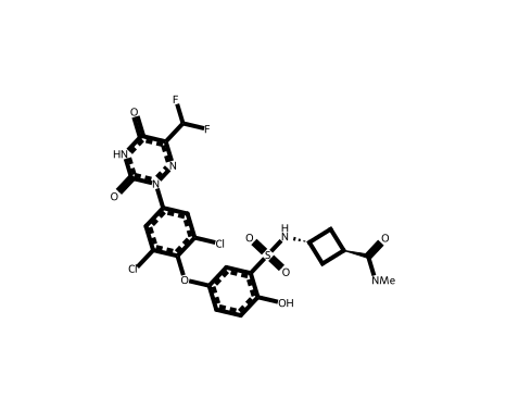 CNC(=O)[C@H]1C[C@H](NS(=O)(=O)c2cc(Oc3c(Cl)cc(-n4nc(C(F)F)c(=O)[nH]c4=O)cc3Cl)ccc2O)C1